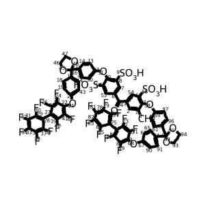 Cc1cc(C(=O)c2cc(S(=O)(=O)O)c(Oc3ccc(C4(c5ccc(Oc6c(F)c(F)c(-c7c(F)c(F)c(F)c(F)c7F)c(F)c6F)cc5)OCCO4)cc3)c(S(=O)(=O)O)c2)cc(S(=O)(=O)O)c1Oc1ccc(C2(c3ccc(Oc4c(F)c(F)c(-c5c(F)c(F)c(F)c(F)c5F)c(F)c4F)cc3)OCCO2)cc1